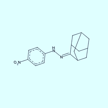 O=[N+]([O-])c1ccc(NN=C2C3CC4CC(C3)CC2C4)cc1